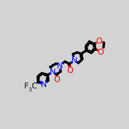 O=C(CN1CCN(c2ccc(C(F)(F)F)nc2)C(=O)C1)N1CC=C(c2ccc3c(c2)OCCO3)CC1